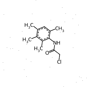 Cc1cc(C)c(NC(=O)CCl)c(C)c1C